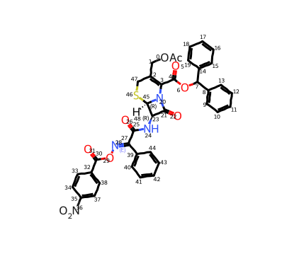 CC(=O)OCC1=C(C(=O)OC(c2ccccc2)c2ccccc2)N2C(=O)[C@@H](NC(=O)/C(=N/OC(=O)c3ccc([N+](=O)[O-])cc3)c3ccccc3)[C@H]2SC1